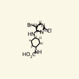 O=C(O)N[C@H]1CC[C@H](Nc2nc(Cl)ncc2Br)CC1